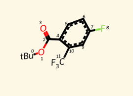 CC(C)(C)OC(=O)c1ccc(F)cc1C(F)(F)F